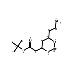 CC(C)(C)OC(=O)CC1CC(CCN)OBO1